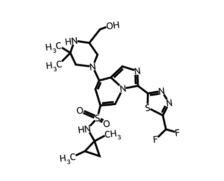 CC1CC1(C)NS(=O)(=O)c1cc(N2CC(CO)NC(C)(C)C2)c2cnc(-c3nnc(C(F)F)s3)n2c1